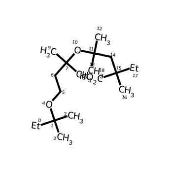 CCC(C)(C)OCCC(C)(C)OC(C)(C)CC(C)(CC)C(=O)O